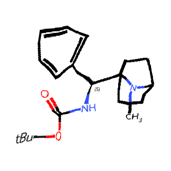 CN1C2CCC1([C@@H](NC(=O)OC(C)(C)C)c1ccccc1)CC2